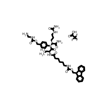 CC(C)[C@H](NC(=O)CCCCCNC(=O)OCC1c2ccccc2-c2ccccc21)C(=O)N(c1ccc(COC(=O)NCN)cc1)[C@@H](CCCNC(N)=O)C(N)=O.O=C(O)C(F)(F)F